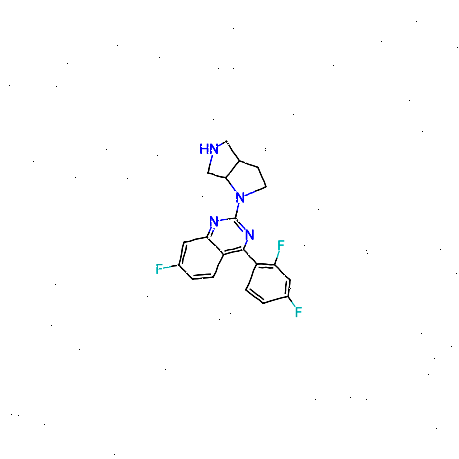 Fc1ccc(-c2nc(N3CCC4CNCC43)nc3cc(F)ccc23)c(F)c1